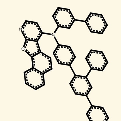 c1ccc(-c2cccc(N(c3ccc(-c4ccc(-c5ccccc5)cc4-c4ccccc4)cc3)c3ccnc4oc5c6ccccc6ccc5c34)c2)cc1